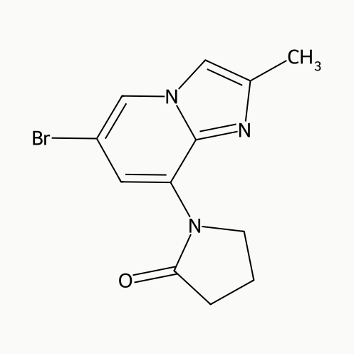 Cc1cn2cc(Br)cc(N3CCCC3=O)c2n1